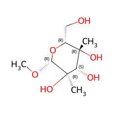 CO[C@@H]1O[C@H](CO)[C@](C)(O)[C@H](O)[C@@]1(C)O